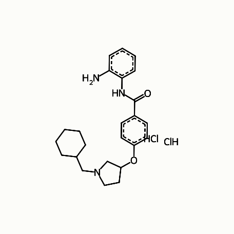 Cl.Cl.Nc1ccccc1NC(=O)c1ccc(OC2CCN(CC3CCCCC3)C2)cc1